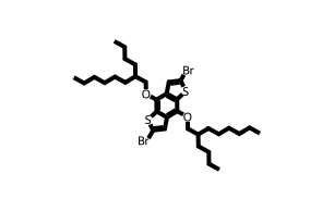 CCCCCCC(CCCC)COc1c2cc(Br)sc2c(OCC(CCCC)CCCCCC)c2cc(Br)sc12